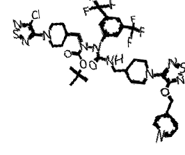 CC(C)(C)OC(=O)N(CC1CCN(c2nsnc2Cl)CC1)N(C(=O)NCC1CCN(c2nsnc2OCc2ccncc2)CC1)c1cc(C(F)(F)F)cc(C(F)(F)F)c1